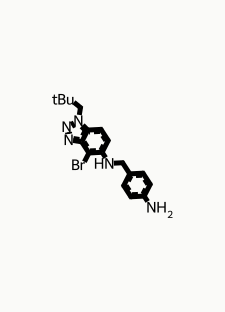 CC(C)(C)Cn1nnc2c(Br)c(NCc3ccc(N)cc3)ccc21